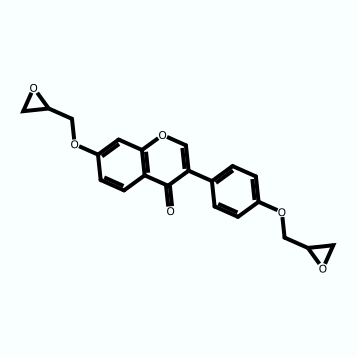 O=c1c(-c2ccc(OCC3CO3)cc2)coc2cc(OCC3CO3)ccc12